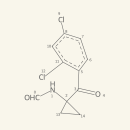 O=CNC1(C(=O)c2ccc(Cl)cc2Cl)CC1